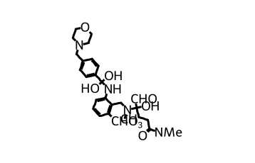 CNC(=O)CCC(O)(C=O)N(C)Cc1c(C=O)cccc1NC(O)(O)c1ccc(CN2CCOCC2)cc1